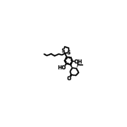 CCCCCCC1(c2cc(O)c([C@@H]3CC(=O)CC[C@H]3C(C)C)c(O)c2)SCCS1